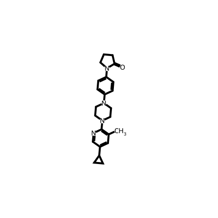 Cc1cc(C2CC2)cnc1N1CCN(c2ccc(N3CCCC3=O)cc2)CC1